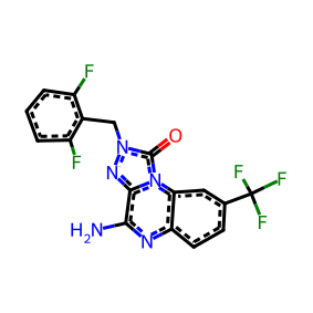 Nc1nc2ccc(C(F)(F)F)cc2n2c(=O)n(Cc3c(F)cccc3F)nc12